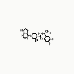 CC(NC(=O)C1CCN(c2ncnc3[nH]ccc23)CC12CC2)c1ccc(F)c(F)c1